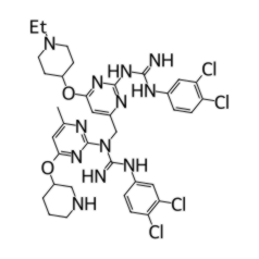 CCN1CCC(Oc2cc(CN(C(=N)Nc3ccc(Cl)c(Cl)c3)c3nc(C)cc(OC4CCCNC4)n3)nc(NC(=N)Nc3ccc(Cl)c(Cl)c3)n2)CC1